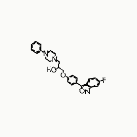 OC(COc1ccc(-c2onc3cc(F)ccc23)cc1)CN1CCN(c2ccccc2)CC1